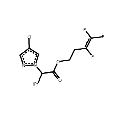 CC(C)C(C(=O)OCCC(F)=C(F)F)n1cc(Cl)cn1